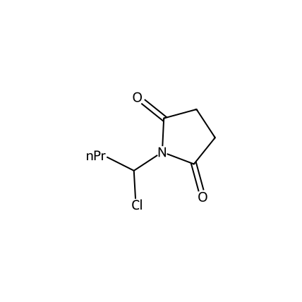 CCCC(Cl)N1C(=O)CCC1=O